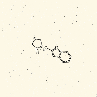 C1CSCN1.FC(F)(F)c1cc2ccccc2o1